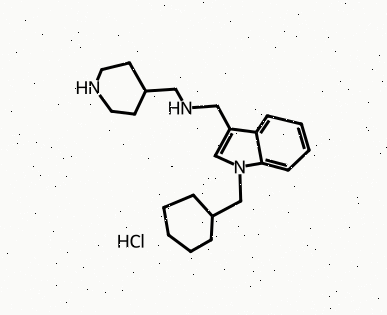 Cl.c1ccc2c(c1)c(CNCC1CCNCC1)cn2CC1CCCCC1